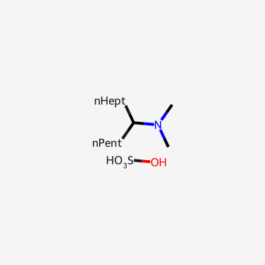 CCCCCCCC(CCCCC)N(C)C.O=S(=O)(O)O